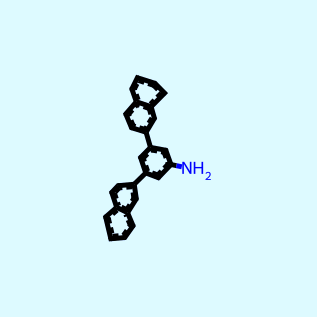 Nc1cc(-c2ccc3ccccc3c2)cc(-c2ccc3ccccc3c2)c1